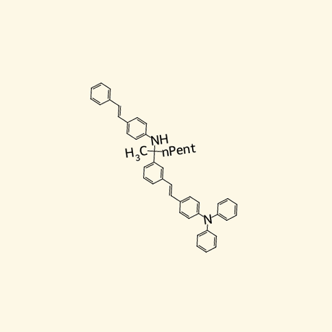 CCCCCC(C)(Nc1ccc(C=Cc2ccccc2)cc1)c1cccc(C=Cc2ccc(N(c3ccccc3)c3ccccc3)cc2)c1